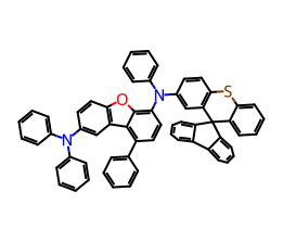 c1ccc(-c2ccc(N(c3ccccc3)c3ccc4c(c3)C3(c5ccccc5S4)c4ccccc4-c4ccccc43)c3oc4ccc(N(c5ccccc5)c5ccccc5)cc4c23)cc1